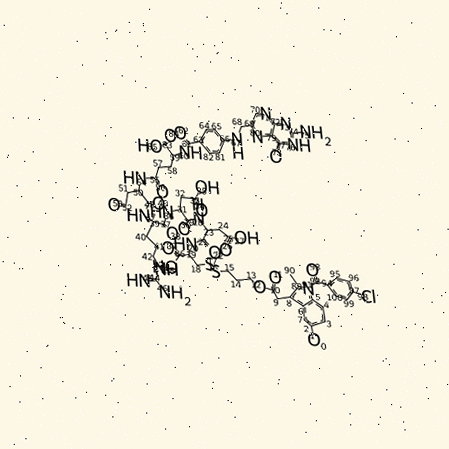 COc1ccc2c(c1)c(CC(=O)OCCCSSCC(NC(=O)C(CC(=O)O)NC(=O)C(CC(=O)O)NC(=O)C(CCCNC(=N)N)NC(=O)C(CC=O)NC(=O)CCC(NC(=O)c1ccc(NCc3cnc4nc(N)[nH]c(=O)c4n3)cc1)C(=O)O)C(=O)O)c(C)n2C(=O)c1ccc(Cl)cc1